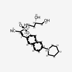 N#CC(=Cc1ccc2cc(N3CCCCC3)ccc2c1)S(=O)(=O)NC[C@H](O)CO